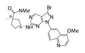 CNC(=O)[C@]1(C)CC[C@@H](Nc2ncc3c(Br)nn(-c4ccc5nccc(OC)c5c4)c3n2)C1